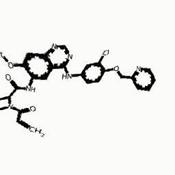 C=CC(=O)N1CCC1C(=O)Nc1cc2c(Nc3ccc(OCc4ccccn4)c(Cl)c3)ncnc2cc1OCC